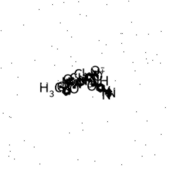 COc1ccccc1-c1noc(C)c1C(=O)N1CCN(c2cc(NC(=O)c3ccc(-n4cncn4)cc3)c([N+](=O)[O-])cc2Cl)CC1